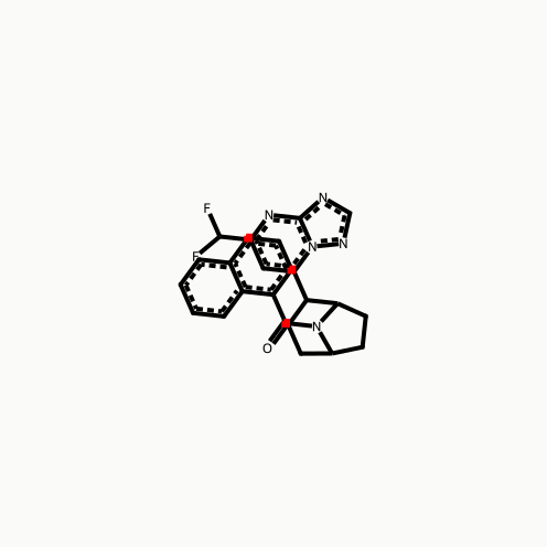 O=C(c1cccc2ccccc12)N1C2CCC(c3cc(C(F)F)nc4ncnn34)C1CC2